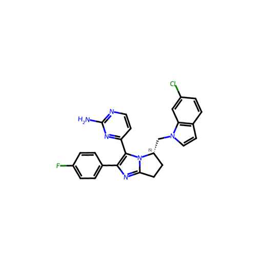 Nc1nccc(-c2c(-c3ccc(F)cc3)nc3n2[C@H](Cn2ccc4ccc(Cl)cc42)CC3)n1